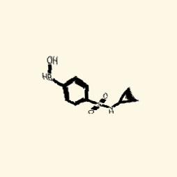 O=S(=O)(NC1CC1)c1ccc(BO)cc1